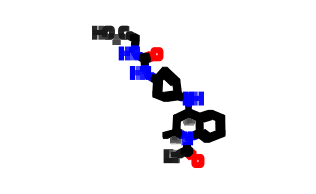 CCC(=O)N1c2ccccc2[C@H](Nc2ccc(NC(=O)NCC(=O)O)cc2)C[C@@H]1C